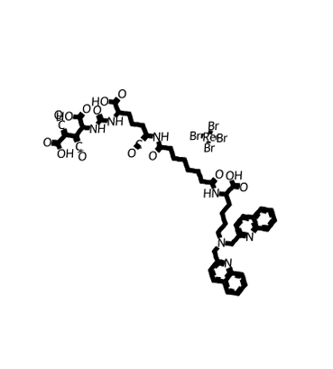 O=C=C(CCCC(NC(=O)NC(C(=O)O)C(=C=O)C(=C=O)C(=O)O)C(=O)O)NC(=O)CCCCCCC(=O)NC(CCCCN(Cc1ccc2ccccc2n1)Cc1ccc2ccccc2n1)C(=O)O.[Br][Re]([Br])([Br])[Br]